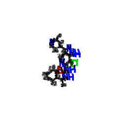 Cc1cc(-c2n[nH]c3c(Cl)c(NC(=O)NC(C)c4ccccc4)ncc23)ccn1